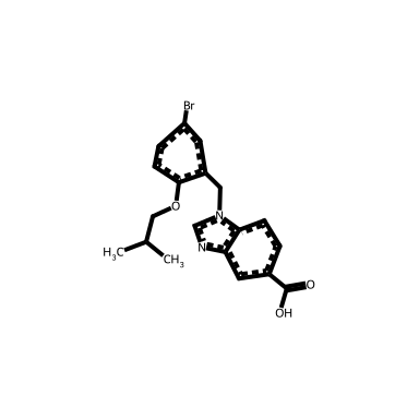 CC(C)COc1ccc(Br)cc1Cn1cnc2cc(C(=O)O)ccc21